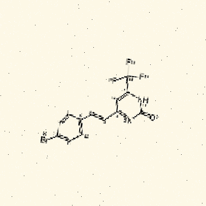 O=c1nc(/C=C/c2ccc(Br)cc2)cc(C(F)(F)F)[nH]1